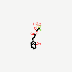 O=C(CCC1CC2CCCC(O)(C2)C1)OCC(F)(F)S(=O)(=O)O